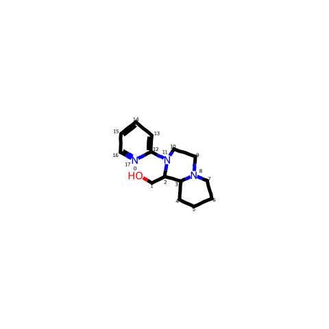 OCC1C2CCCCN2CCN1c1ccccn1